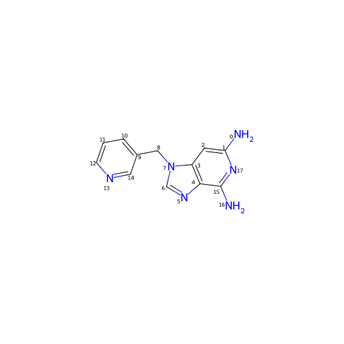 Nc1cc2c(ncn2Cc2cccnc2)c(N)n1